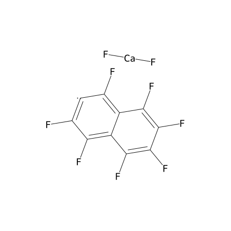 Fc1[c]c(F)c2c(F)c(F)c(F)c(F)c2c1F.[F][Ca][F]